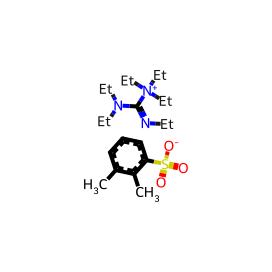 CCN=C(N(CC)CC)[N+](CC)(CC)CC.Cc1cccc(S(=O)(=O)[O-])c1C